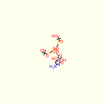 CC(C)(CO)C(=O)SCCOP(=O)(OCCSC(=O)C(C)(C)CO)OC[C@H]1OCC(O)(n2ccc(N)nc2=O)C1O